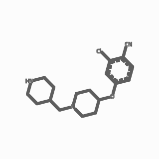 N#Cc1ccc(OC2CCN(CC3CCNCC3)CC2)cc1Cl